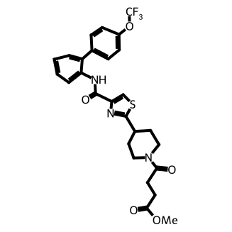 COC(=O)CCC(=O)N1CCC(c2nc(C(=O)Nc3ccccc3-c3ccc(OC(F)(F)F)cc3)cs2)CC1